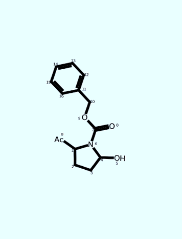 CC(=O)C1CCC(O)N1C(=O)OCc1ccccc1